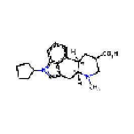 CN1CC(C(=O)O)C[C@@H]2c3cccc4c3c(cn4C3CCCC3)C[C@H]21